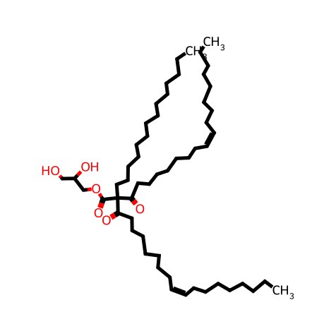 CCCCCCCC/C=C\CCCCCCCC(=O)C(CCCCCCCCCCCCCC)(C(=O)CCCCCCC/C=C\CCCCCCCC)C(=O)OCC(O)CO